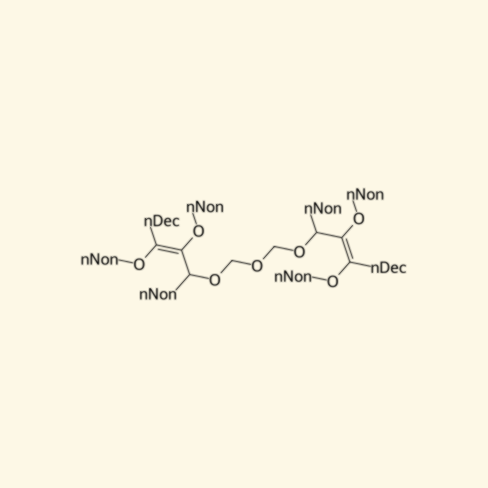 CCCCCCCCCCC(OCCCCCCCCC)=C(OCCCCCCCCC)C(CCCCCCCCC)OCOCOC(CCCCCCCCC)C(OCCCCCCCCC)=C(CCCCCCCCCC)OCCCCCCCCC